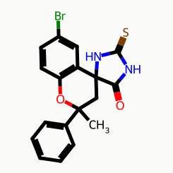 CC1(c2ccccc2)CC2(NC(=S)NC2=O)c2cc(Br)ccc2O1